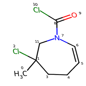 CC1(Cl)CCC=CN(C(=O)Cl)C1